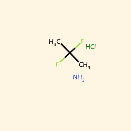 CC(C)(F)F.Cl.N